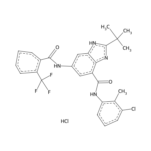 Cc1c(Cl)cccc1NC(=O)c1cc(NC(=O)c2ccccc2C(F)(F)F)cc2[nH]c(C(C)(C)C)nc12.Cl